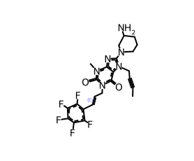 CC#CCn1c(N2CCCC(N)C2)nc2c1c(=O)n(C/C=C/c1c(F)c(F)c(F)c(F)c1F)c(=O)n2C